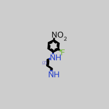 N=C/C=C\Nc1ccc([N+](=O)[O-])cc1F